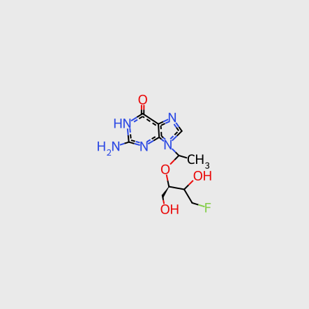 CC(O[C@H](CO)C(O)CF)n1cnc2c(=O)[nH]c(N)nc21